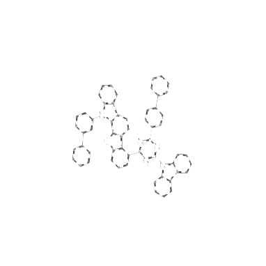 c1ccc(-c2ccc(-c3nc(-c4cccc5oc6c(ccc7c8ccccc8n(-c8cccc(-c9ccccc9)c8)c76)c45)nc(-n4c5ccccc5c5ccccc54)n3)cc2)cc1